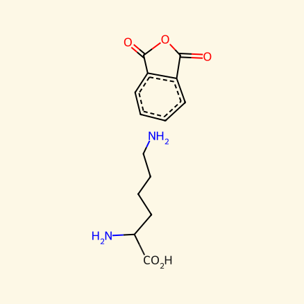 NCCCCC(N)C(=O)O.O=C1OC(=O)c2ccccc21